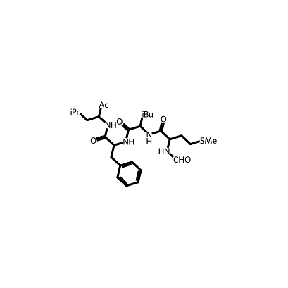 CCC(C)C(NC(=O)C(CCSC)NC=O)C(=O)NC(Cc1ccccc1)C(=O)NC(CC(C)C)C(C)=O